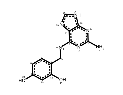 Nc1nc(NCc2ccc(O)cc2O)c2nc[nH]c2n1